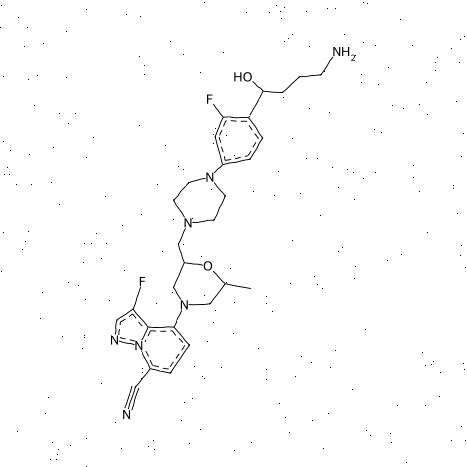 CC1CN(c2ccc(C#N)n3ncc(F)c23)CC(CN2CCN(c3ccc(C(O)CCCN)c(F)c3)CC2)O1